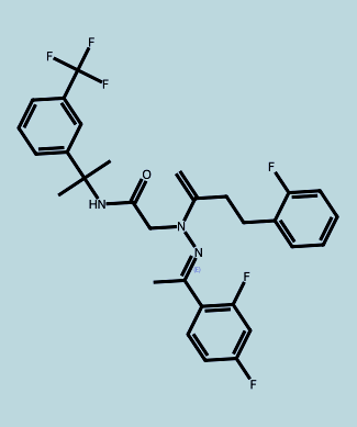 C=C(CCc1ccccc1F)N(CC(=O)NC(C)(C)c1cccc(C(F)(F)F)c1)/N=C(\C)c1ccc(F)cc1F